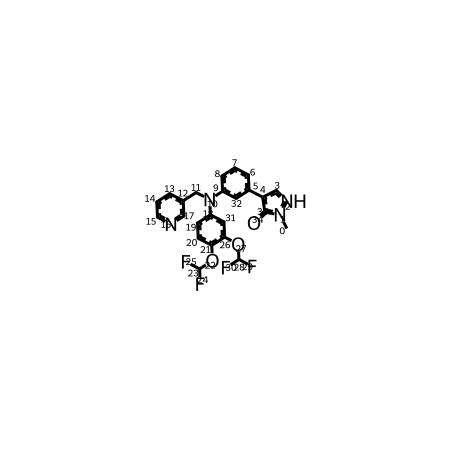 Cn1[nH]cc(-c2cccc(N(Cc3cccnc3)c3ccc(OC(F)F)c(OC(F)F)c3)c2)c1=O